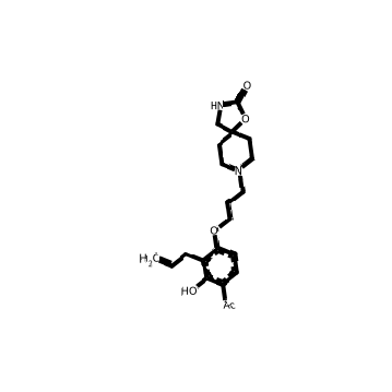 C=CCc1c(OCCCN2CCC3(CC2)CNC(=O)O3)ccc(C(C)=O)c1O